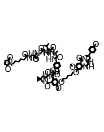 COc1ccc(C2=CN3C(=O)c4cc(OC)c(OCCCCCOc5cc6c(cc5OC)C(=O)N5CC7(CC7)C[C@H]5C(O)N6C(=O)OCc5ccc(NC(=O)C(C)NC(=O)[C@H](NC(=O)CNC(=O)CNC(=O)CCCCCN6C(=O)C=CC6=O)C(C)C)cc5)cc4NC[C@H]3C2)cc1